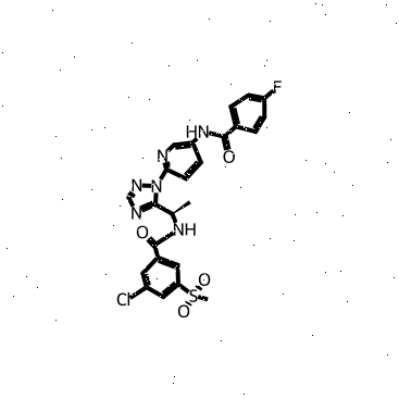 C[C@@H](NC(=O)c1cc(Cl)cc(S(C)(=O)=O)c1)c1ncnn1-c1ccc(NC(=O)c2ccc(F)cc2)cn1